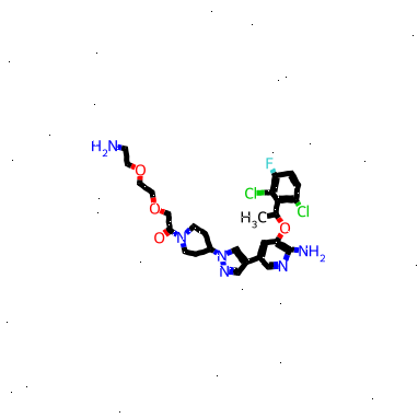 CC(Oc1cc(-c2cnn(C3CCN(C(=O)COCCOCCN)CC3)c2)cnc1N)c1c(Cl)ccc(F)c1Cl